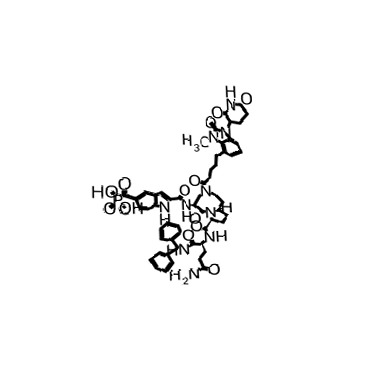 Cn1c(=O)n(C2CCC(=O)NC2=O)c2cccc(CCCCC(=O)N3CC[C@H]4CC[C@@H](C(=O)N[C@@H](CCC(N)=O)C(=O)NC(c5ccccc5)c5ccccc5)N4C(=O)[C@@H](NC(=O)c4cc5cc(C(=O)P(=O)(O)O)ccc5[nH]4)C3)c21